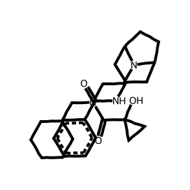 O=C(NC1CC2CCC(C1)N2CCN(CC1CCCCC1)C(=O)C1(O)CC1)c1ccccc1